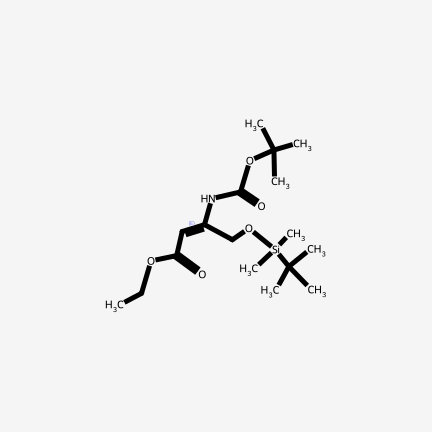 CCOC(=O)/C=C(\CO[Si](C)(C)C(C)(C)C)NC(=O)OC(C)(C)C